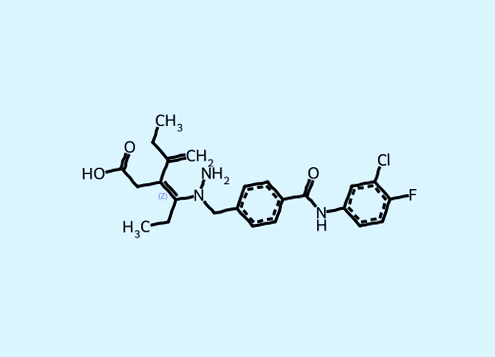 C=C(CC)/C(CC(=O)O)=C(/CC)N(N)Cc1ccc(C(=O)Nc2ccc(F)c(Cl)c2)cc1